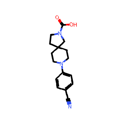 N#Cc1ccc(N2CCC3(CCN(C(=O)O)C3)CC2)cc1